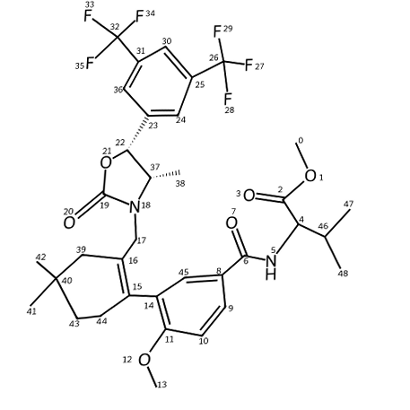 COC(=O)C(NC(=O)c1ccc(OC)c(C2=C(CN3C(=O)O[C@H](c4cc(C(F)(F)F)cc(C(F)(F)F)c4)[C@@H]3C)CC(C)(C)CC2)c1)C(C)C